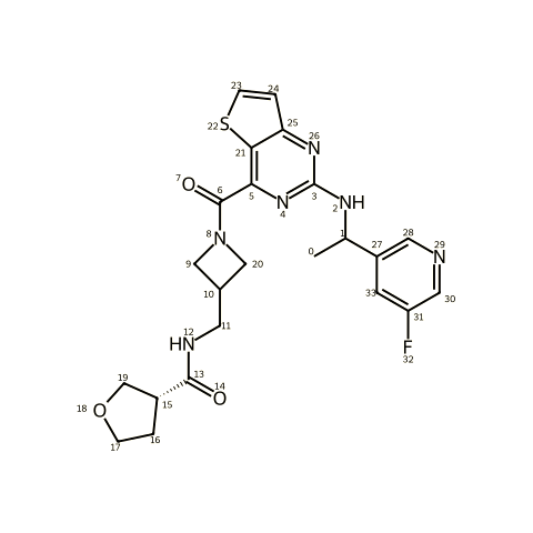 CC(Nc1nc(C(=O)N2CC(CNC(=O)[C@@H]3CCOC3)C2)c2sccc2n1)c1cncc(F)c1